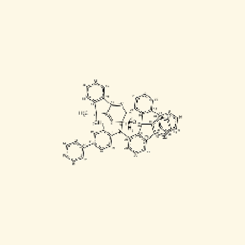 CC1(C)C2=CC(C)(N(c3ccc(-c4ccccc4)cc3)c3cccc4c3C(O)(c3ccccc3-c3ccccc3)c3ccccc3-4)CC=C2c2ccccc21